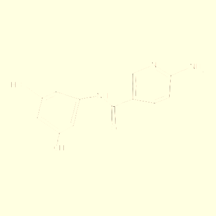 Cc1cc(C)cc(NC(=O)c2ccc(N)nc2)c1